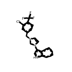 FC(F)(F)c1ccc(CN2C=CN(c3c[nH]c4ccccc34)C2)cc1Cl